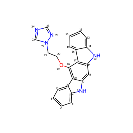 c1ccc2c(c1)[nH]c1cc3[nH]c4ccccc4c3c(OCCn3cncn3)c12